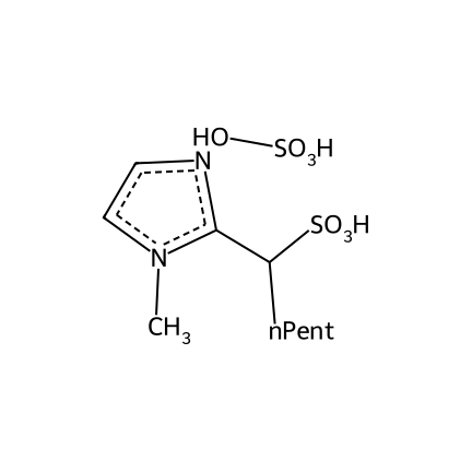 CCCCCC(c1nccn1C)S(=O)(=O)O.O=S(=O)(O)O